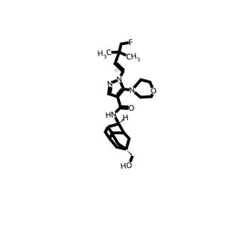 CC(C)(/C=C/n1ncc(C(=O)N[C@H]2C3CC4CC2C[C@](CO)(C4)C3)c1N1CCOCC1)CF